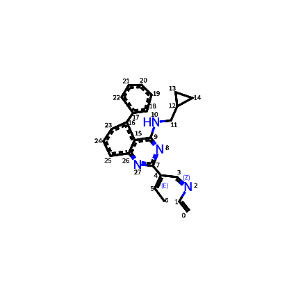 C=C/N=C\C(=C/C)c1nc(NCC2CC2)c2c(-c3ccccc3)cccc2n1